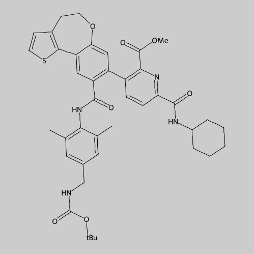 COC(=O)c1nc(C(=O)NC2CCCCC2)ccc1-c1cc2c(cc1C(=O)Nc1c(C)cc(CNC(=O)OC(C)(C)C)cc1C)-c1sccc1CCO2